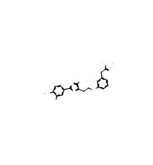 COC(=O)Cc1cccc(OCCc2nc(-c3ccc(OC)c(OC)c3)oc2C)c1